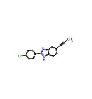 CC#Cc1ccc2[nH]c(-c3ccc(Cl)cc3)nc2c1